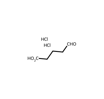 Cl.Cl.O=CCCCC(=O)O